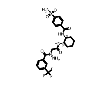 NN(CC(=O)N[C@@H]1CCCC[C@@H]1NC(=O)c1ccc(S(N)(=O)=O)cc1)C(=O)c1cccc(C(F)(F)F)c1